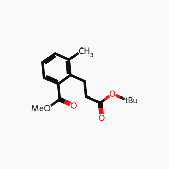 COC(=O)c1cccc(C)c1CCC(=O)OC(C)(C)C